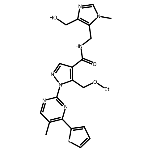 CCOCc1c(C(=O)NCc2c(CO)ncn2C)cnn1-c1ncc(C)c(-c2cccs2)n1